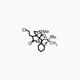 COC(=O)C1(C(O[Si](C)(C)C(C)(C)C)C2CCCCC2)NC(=O)C(CCCl)C12CO2